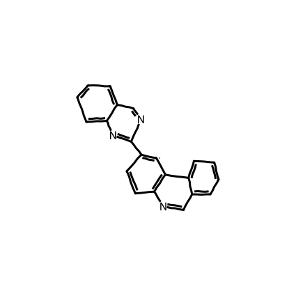 [c]1c(-c2ncc3ccccc3n2)ccc2ncc3ccccc3c12